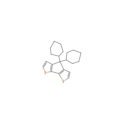 c1cc2c(s1)-c1sccc1C2(C1CCCCC1)C1CCCCC1